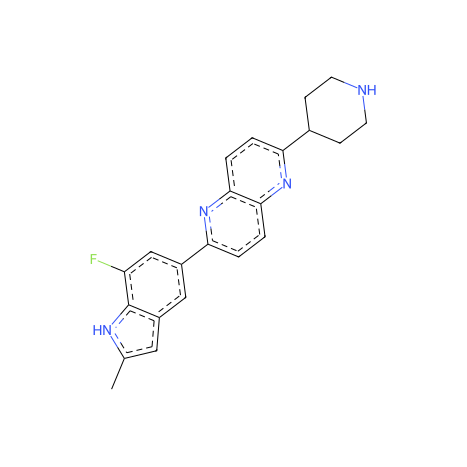 Cc1cc2cc(-c3ccc4nc(C5CCNCC5)ccc4n3)cc(F)c2[nH]1